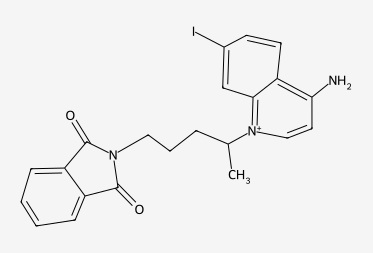 CC(CCCN1C(=O)c2ccccc2C1=O)[n+]1ccc(N)c2ccc(I)cc21